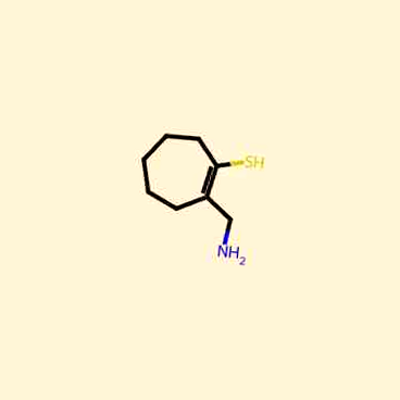 NCC1=C(S)CCCCC1